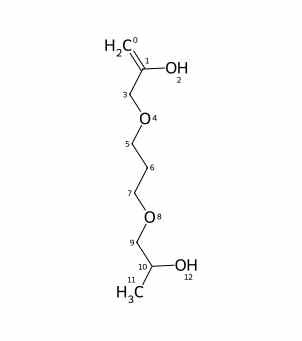 C=C(O)COCCCOCC(C)O